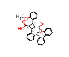 COc1ccccc1[C@H]1[C@H](C(=O)O)[C@H](c2ccccc2C)[C@H]1C(=O)Oc1ccccc1-c1ccccc1